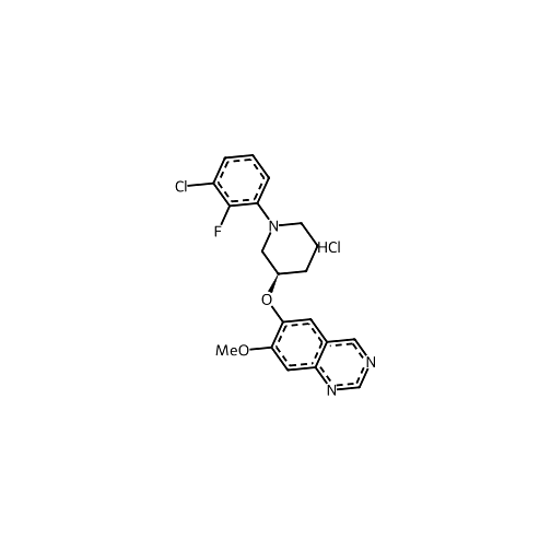 COc1cc2ncncc2cc1O[C@@H]1CCCN(c2cccc(Cl)c2F)C1.Cl